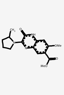 COC(=O)c1cc2nc(N3CCCC3C)c(=O)[nH]c2cc1OC